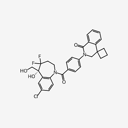 O=C1c2ccccc2C2(CCC2)CN1c1ccc(C(=O)N2CCC(F)(F)[C@](O)(CO)c3cc(Cl)ccc32)cc1